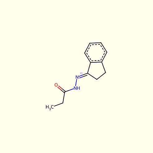 CCC(=O)N/N=C1\CCc2ccccc21